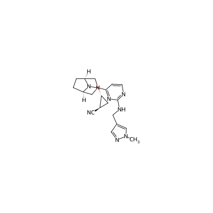 Cn1cc(CNc2nccc(N3C[C@H]4CC[C@@H](C3)N4C[C@@H]3C[C@H]3C#N)n2)cn1